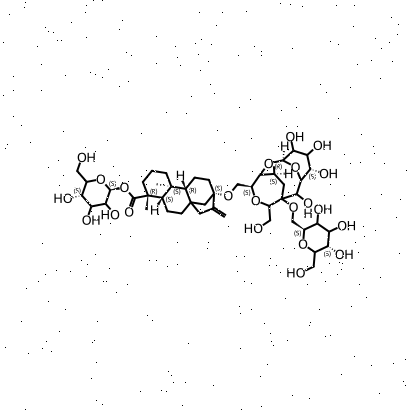 C=C1CC23CC[C@H]4[C@@](C)(CCC[C@@]4(C)C(=O)O[C@@H]4OC(CO)[C@@H](O)C(O)C4O)[C@@H]2CC[C@]1(OC[C@@H]1OC(CO)C2(OC[C@@H]4OC(CO)[C@@H](O)C(O)C4O)C[C@H](C)C1O[C@@H]1OC(C2O)[C@@H](O)C(O)C1O)C3